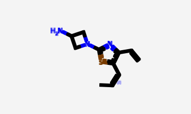 C=Cc1nc(N2CC(N)C2)sc1/C=C\C